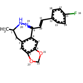 CC1Cc2cc3c(cc2C(C=Cc2ccc(F)cc2)=NN1)OCO3